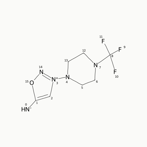 [NH-]c1c[n+](N2CCN(C(F)(F)F)CC2)no1